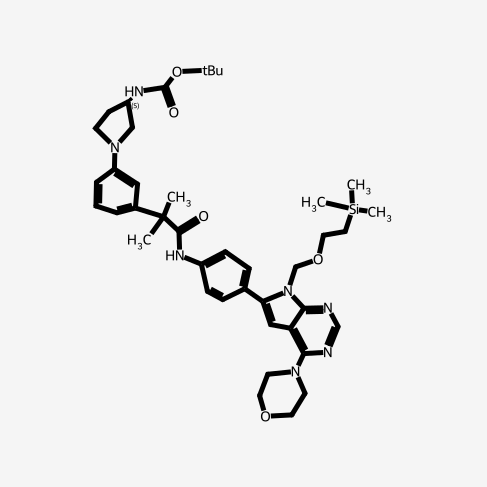 CC(C)(C)OC(=O)N[C@H]1CCN(c2cccc(C(C)(C)C(=O)Nc3ccc(-c4cc5c(N6CCOCC6)ncnc5n4COCC[Si](C)(C)C)cc3)c2)C1